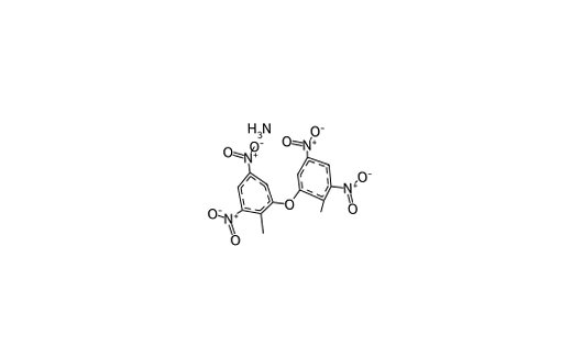 Cc1c(Oc2cc([N+](=O)[O-])cc([N+](=O)[O-])c2C)cc([N+](=O)[O-])cc1[N+](=O)[O-].N